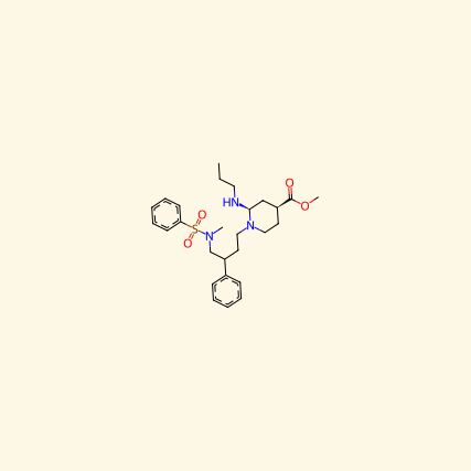 CCCN[C@H]1C[C@@H](C(=O)OC)CCN1CCC(CN(C)S(=O)(=O)c1ccccc1)c1ccccc1